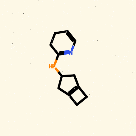 C1=CN=C(PC2CC3=C(CC3)C2)CC1